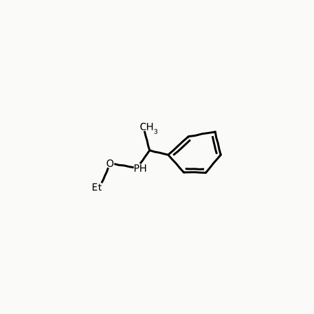 CCOPC(C)c1ccccc1